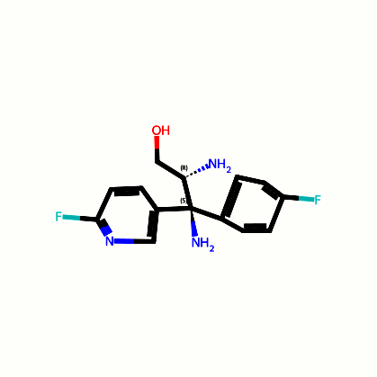 N[C@@H](CO)[C@](N)(c1ccc(F)cc1)c1ccc(F)nc1